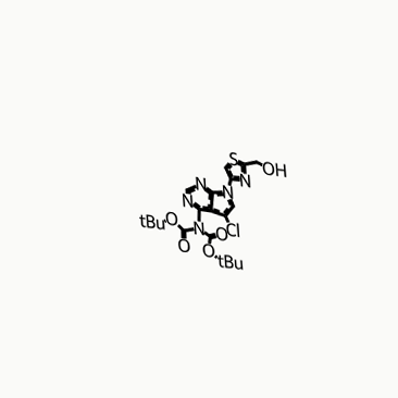 CC(C)(C)OC(=O)N(C(=O)OC(C)(C)C)c1ncnc2c1c(Cl)cn2-c1csc(CO)n1